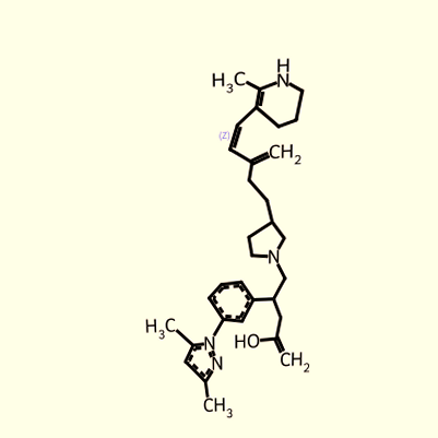 C=C(O)CC(CN1CCC(CCC(=C)/C=C\C2=C(C)NCCC2)C1)c1cccc(-n2nc(C)cc2C)c1